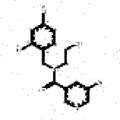 O=C(c1cncc(Br)c1)N(CCO)Cc1ccc(Cl)cc1Cl